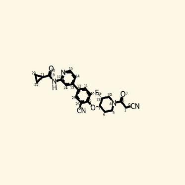 N#CCC(=O)N1CC[C@H](Oc2ccc(-c3ccnc(NC(=O)C4CC4)c3)cc2C#N)[C@H](F)C1